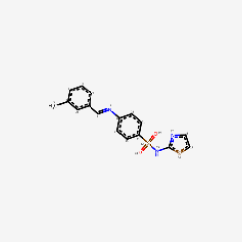 Cc1cccc(/C=N/c2ccc(S(=O)(=O)Nc3nccs3)cc2)c1